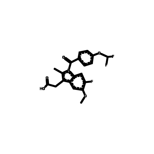 COc1cc2c(CC(=O)O)c(C)n(C(=O)c3ccc(OC(F)F)cc3)c2cc1F